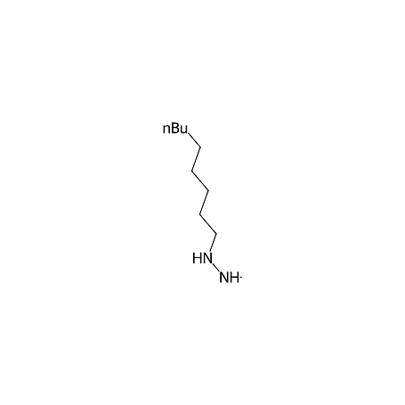 CCCCCCCCCN[NH]